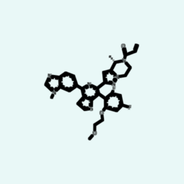 C=CC(=O)N1CCn2nc(-c3nc(-c4ccc5ncn(C)c5c4)c4ccsc4c3-c3c(F)cc(F)cc3OCCOC)cc2[C@@H]1C